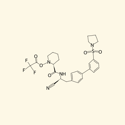 N#C[C@H](Cc1ccc(-c2cccc(S(=O)(=O)N3CCCC3)c2)cc1)NC(=O)[C@@H]1CCCCN1OC(=O)C(F)(F)F